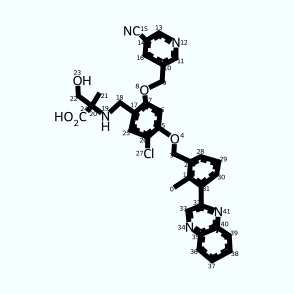 Cc1c(COc2cc(OCc3cncc(C#N)c3)c(CNC(C)(CO)C(=O)O)cc2Cl)cccc1-c1cnc2ccccc2n1